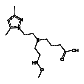 CONCCN(CCCC(=O)O)CCn1nc(C)cc1C